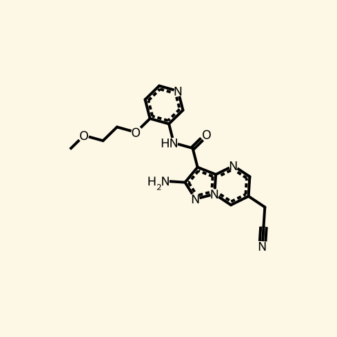 COCCOc1ccncc1NC(=O)c1c(N)nn2cc(CC#N)cnc12